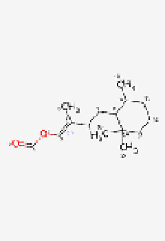 C/C(=C\OC=O)CCC1C(C)CCCC1(C)C